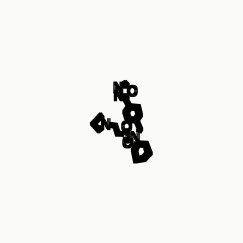 O=S(=O)(CCN1CCC1)N(Cc1ccc(-c2nnco2)cc1)c1ccccc1